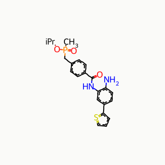 CC(C)OP(C)(=O)Cc1ccc(C(=O)Nc2cc(-c3cccs3)ccc2N)cc1